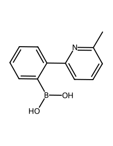 Cc1cccc(-c2ccccc2B(O)O)n1